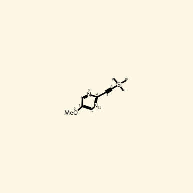 COc1cnc(C#C[Si](C)(C)C)nc1